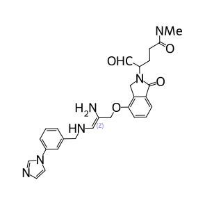 CNC(=O)CCC(C=O)N1Cc2c(OC/C(N)=C/NCc3cccc(-n4ccnc4)c3)cccc2C1=O